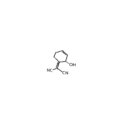 N#CC(C#N)=C1CCC=CC1O